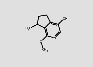 COc1ncc(O)c2c1C(C)CC2